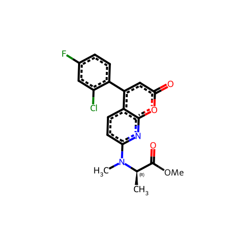 COC(=O)[C@@H](C)N(C)c1ccc2c(-c3ccc(F)cc3Cl)cc(=O)oc2n1